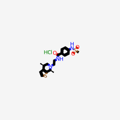 C[C@H]1CN(CCNC(=O)c2ccc(NS(C)(=O)=O)cc2)[C@@H](C)c2sccc21.Cl